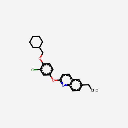 O=CCc1ccc2nc(Oc3ccc(OCC4CCCCC4)c(Cl)c3)ccc2c1